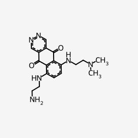 CN(C)CCNc1ccc(NCCN)c2c1C(=O)c1cnncc1C2=O